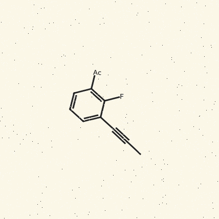 CC#Cc1cccc(C(C)=O)c1F